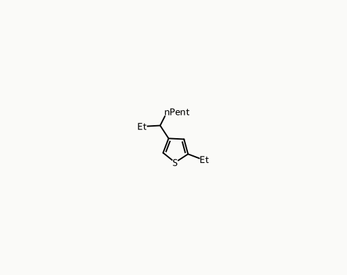 CCCCCC(CC)c1csc(CC)c1